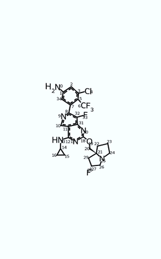 Nc1cc(Cl)c(C(F)(F)F)c(-c2ncc3c(NC4CC4)nc(OC[C@@]45CCCN4C[C@H](F)C5)nc3c2F)c1